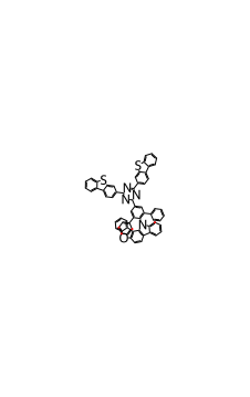 c1ccc(-c2cc(-c3nc(-c4ccc5c(c4)sc4ccccc45)nc(-c4ccc5c(c4)sc4ccccc45)n3)cc(-c3ccccc3)c2-n2c3ccccc3c3ccc4oc5ccccc5c4c32)cc1